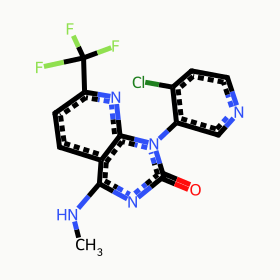 CNc1nc(=O)n(-c2cnccc2Cl)c2nc(C(F)(F)F)ccc12